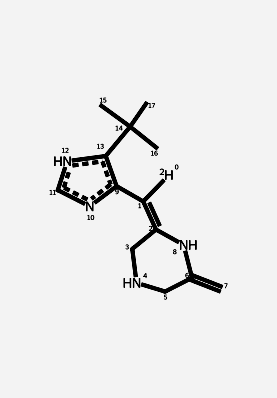 [2H]C(=C1CNCC(=C)N1)c1nc[nH]c1C(C)(C)C